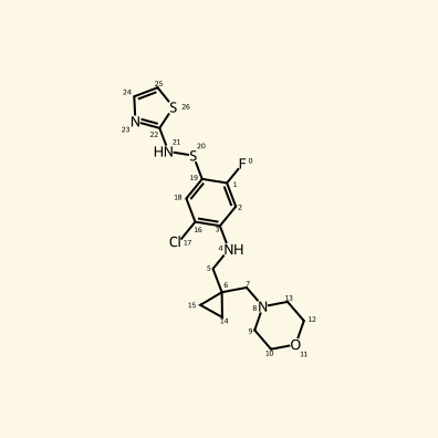 Fc1cc(NCC2(CN3CCOCC3)CC2)c(Cl)cc1SNc1nccs1